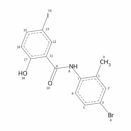 Cc1cc(Br)ccc1NC(=O)c1cc(I)ccc1O